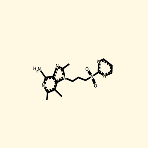 Cc1nc(N)c2nc(C)n(CCCS(=O)(=O)c3ncccn3)c2c1C